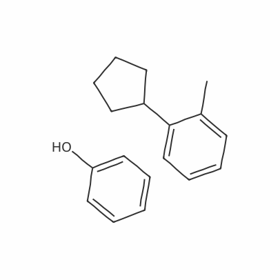 Cc1ccccc1C1CCCC1.Oc1ccccc1